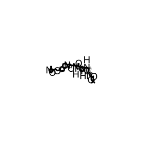 Cc1ncoc1COc1ccc2c(c1)CCN(C[C@@H](O)CNC(=O)c1ccnc(N[C@H](C)CCNC(=O)OC(C)(C)C)c1)C2